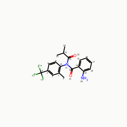 Cc1cc(C(F)(F)F)ccc1N(C(=O)c1ccccc1N)C(=O)C(C)C